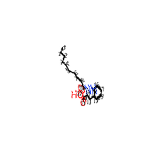 CCCCCCC/C=C/C(=O)NC(Cc1ccccc1)C(=O)O